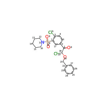 O=C(c1ccc(Cl)c(S(=O)(=O)N2CCCCC2)c1)C(Cl)OCc1ccccc1